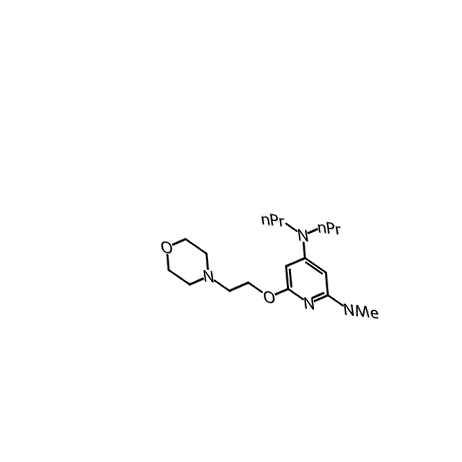 CCCN(CCC)c1cc(NC)nc(OCCN2CCOCC2)c1